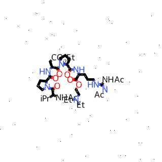 CCOC(=O)CC(NC(=O)C1CCCN1C(=O)C(NC(C)=O)C(C)C)C(=O)N1CCCC1C(=O)NC(CCCN/C(=N\C(C)=O)NC(C)=O)C(=O)OCCN(CC)CC